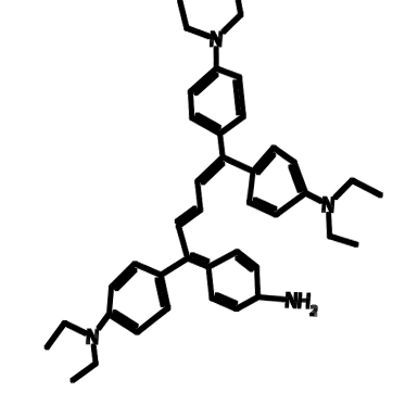 CCN(CC)c1ccc(C(=CC=CC(=C2C=CC(N)C=C2)c2ccc(N(CC)CC)cc2)c2ccc(N(CC)CC)cc2)cc1